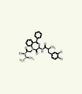 CCN(C(=O)CN1C(=O)C(NC(=O)C(C)Cc2ccc(Cl)c(Cl)c2)N=C(c2ccccc2)c2ccccc21)N(C)C